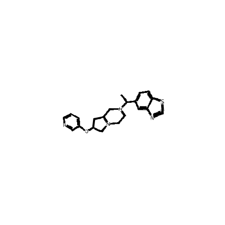 CC(c1ccc2scnc2c1)N1CCN2CC(Oc3cccnc3)CC2C1